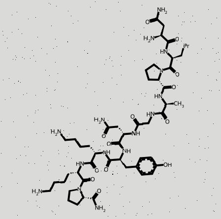 CC(C)C[C@H](NC(=O)[C@@H](N)CC(N)=O)C(=O)N1CCC[C@H]1C(=O)N[C@@H](C)C(=O)NCC(=O)N[C@@H](CC(N)=O)C(=O)N[C@@H](Cc1ccc(O)cc1)C(=O)N[C@@H](CCCCN)C(=O)N[C@@H](CCCCN)C(=O)N1CCC[C@H]1C(N)=O